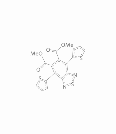 COC(=O)c1c(C(=O)OC)c(-c2cccs2)c2nsnc2c1-c1cccs1